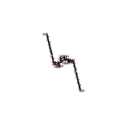 CCCCNc1nc(Nc2ccc(OCCOCCOCCOCCOCCOCCOCCOCCOCCOCCO)cc2)nc(Nc2ccc(/C=C/c3ccc(Nc4nc(NCCCC)nc(Nc5ccc(OCCOCCOCCOCCOCCOCCOCCOCCOCCOCCO)cc5)n4)cc3OS(=O)O)c(OS(=O)O)c2)n1